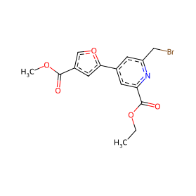 CCOC(=O)c1cc(-c2cc(C(=O)OC)co2)cc(CBr)n1